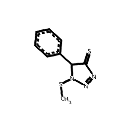 CSN1N=NC(=S)C1c1ccccc1